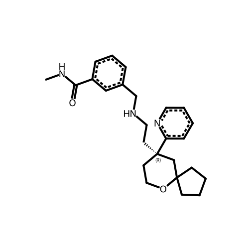 CNC(=O)c1cccc(CNCC[C@@]2(c3ccccn3)CCOC3(CCCC3)C2)c1